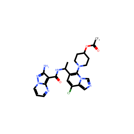 CC(NC(=O)c1c(N)nn2cccnc12)c1cc(Cl)c2cncn2c1N1CCC(OC(=O)C(F)(F)F)CC1